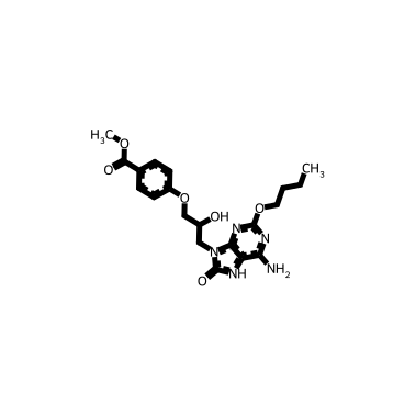 CCCCOc1nc(N)c2[nH]c(=O)n(CC(O)COc3ccc(C(=O)OC)cc3)c2n1